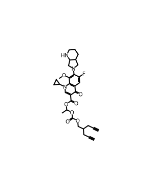 C#CCC(CC#C)COC(=O)OC(C)OC(=O)c1cn(C2CC2)c2c(OC)c(N3CC4CCCNC4C3)c(F)cc2c1=O